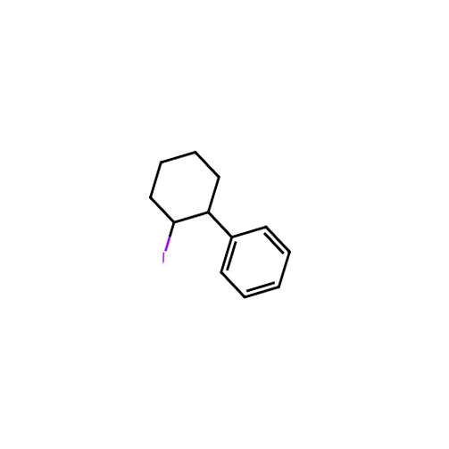 IC1CCCCC1c1ccccc1